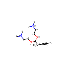 CC#C[SiH2]C(OCCN(C)C)OCCN(C)C